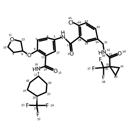 O=C(Nc1ccc(OC2CCOC2)c(C(=O)N[C@H]2CC[C@H](C(F)(F)F)CC2)c1)c1cc(CNC(=O)C2(C(F)(F)F)CC2)ccc1Cl